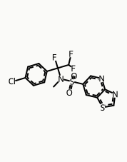 CN(C(F)(c1ccc(Cl)cc1)C(F)F)S(=O)(=O)c1cnc2ncsc2c1